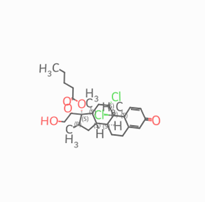 CCCCC(=O)O[C@@]1(C(=O)CO)[C@H](C)C[C@H]2[C@@H]3CCC4=CC(=O)C=C[C@]4(C)[C@@]3(Cl)[C@@H](Cl)C[C@@]21C